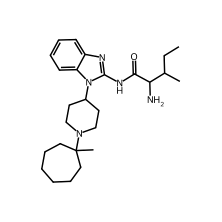 CCC(C)C(N)C(=O)Nc1nc2ccccc2n1C1CCN(C2(C)CCCCCC2)CC1